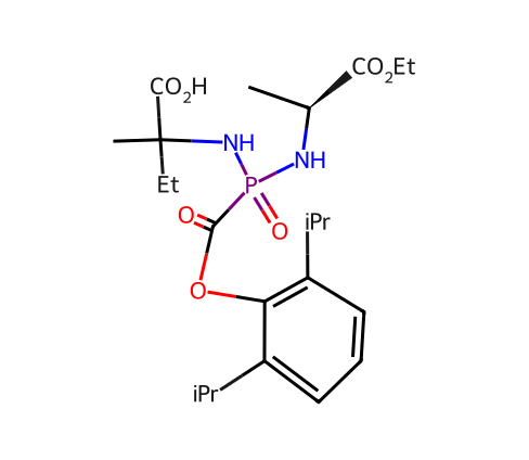 CCOC(=O)[C@H](C)NP(=O)(NC(C)(CC)C(=O)O)C(=O)Oc1c(C(C)C)cccc1C(C)C